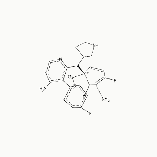 NC(=O)[C@]1(C(c2ncnc(N)c2-c2ccc(F)cc2)C2CCNC2)C=CC(F)=C(N)C1F